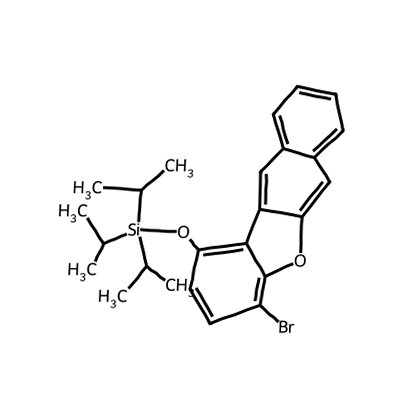 CC(C)[Si](Oc1ccc(Br)c2oc3cc4ccccc4cc3c12)(C(C)C)C(C)C